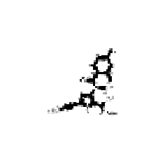 COC(=O)c1sc(C#CC(C)(C)C)cc1N(C(=O)C1CC=C(C)CC1C)C(C)C